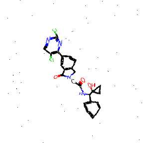 O=C(CN1Cc2ccc(-c3nc(Cl)ncc3Cl)cc2C1=O)NC(c1ccccc1)C1(O)CC1